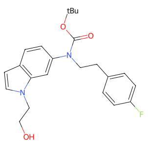 CC(C)(C)OC(=O)N(CCc1ccc(F)cc1)c1ccc2ccn(CCO)c2c1